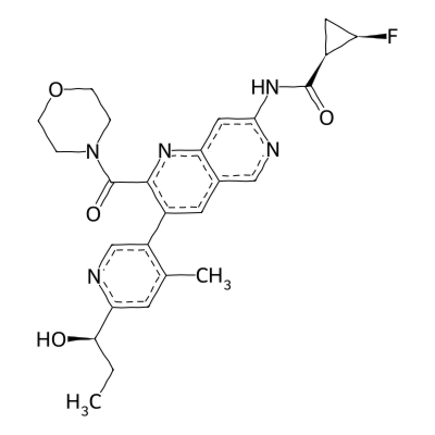 CC[C@@H](O)c1cc(C)c(-c2cc3cnc(NC(=O)[C@H]4C[C@H]4F)cc3nc2C(=O)N2CCOCC2)cn1